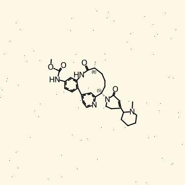 COC(=O)Nc1ccc2c(c1)NC(=O)[C@H](C)CCC[C@H](N1CCC(C3CCCCN3C)=CC1=O)c1cc-2ccn1